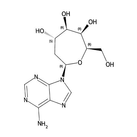 Nc1ncnc2c1ncn2[C@H]1C[C@H](O)[C@@H](O)[C@@H](O)[C@@H](CO)O1